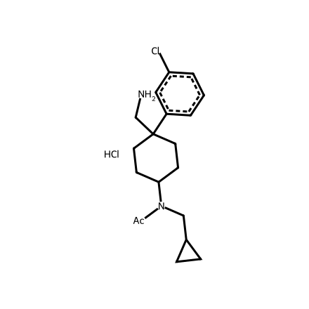 CC(=O)N(CC1CC1)C1CCC(CN)(c2cccc(Cl)c2)CC1.Cl